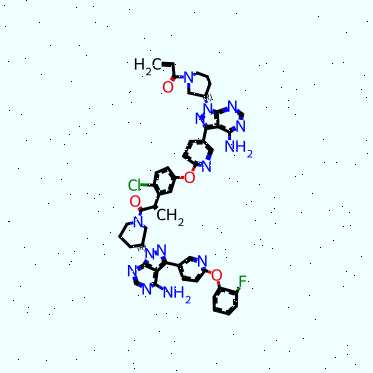 C=CC(=O)N1CCC[C@@H](n2nc(-c3ccc(Oc4ccc(Cl)c(C(=C)C(=O)N5CCC[C@@H](n6nc(-c7ccc(Oc8ccccc8F)nc7)c7c(N)ncnc76)C5)c4)nc3)c3c(N)ncnc32)C1